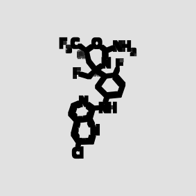 NC1=N[C@](CF)(C2CC(Nc3nccc4cc(Cl)cnc34)=CC=C2F)C[C@@H](C(F)(F)F)O1